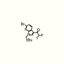 CC(C)(C)Cn1cc(C(=O)C(F)F)c2ccc(Br)nc21